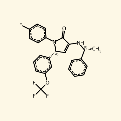 C[C@@H](NC1=C[C@H](c2cccc(OC(F)(F)F)c2)N(c2ccc(F)cc2)C1=O)c1ccccc1